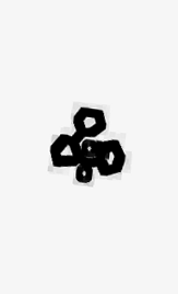 O=C(c1ccccc1)C1(O)C=CC=CC1C1CCCCC1